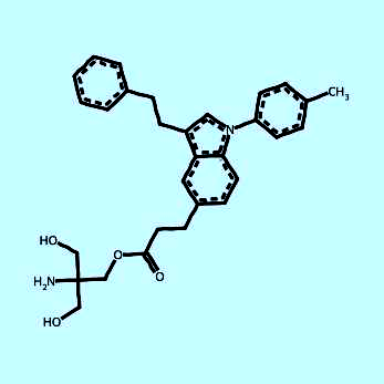 Cc1ccc(-n2cc(CCc3ccccc3)c3cc(CCC(=O)OCC(N)(CO)CO)ccc32)cc1